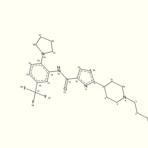 CCCCN1CCC(c2nc(C(=O)Nc3cc(C(F)(F)F)ccc3N3CCCC3)cs2)CC1